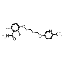 NC(=O)c1c(F)ccc(OCCCCOc2ccc(C(F)(F)F)nc2)c1F